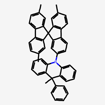 Cc1ccc2c(c1)C1(c3cc(C)ccc3-2)c2cc(C)ccc2-c2ccc(N3c4ccccc4C(C)(c4ccccc4)c4ccccc43)cc21